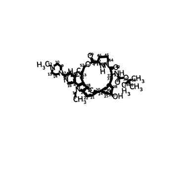 CCn1c(-c2ccc(N3CCN(C)CC3)nc2)c2c3cc(ccc31)-c1cc(O)cc(c1)C[C@H](NC(=O)OC(C)(C)C)C(=O)N1CCC[C@H](N1)C(=O)OCC(C)(C)C2